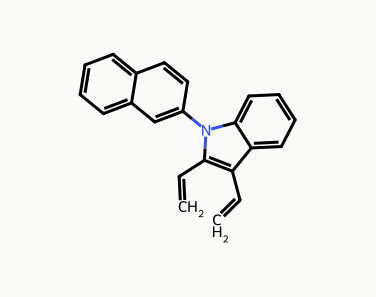 C=Cc1c(C=C)n(-c2ccc3ccccc3c2)c2ccccc12